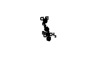 Cn1c(CN2CCC(CCOc3ccc(Cl)c(Cl)c3)CC2)c(Br)c(=O)n1-c1ccccc1